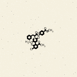 COC(=O)c1ccc(NC(=O)C(Cc2ccccc2)n2cc(OC)c(-c3c(C(C)=O)ccc(Cl)c3F)cc2=O)cc1